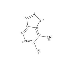 CC(C)c1ncc2ccsc2c1C#N